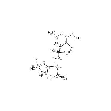 B[C@@H](C)OC(CO)C(CF)OP(=O)(O)OCC(O[C@@H](B)C)[C@@H](CF)OP(=O)(O)O